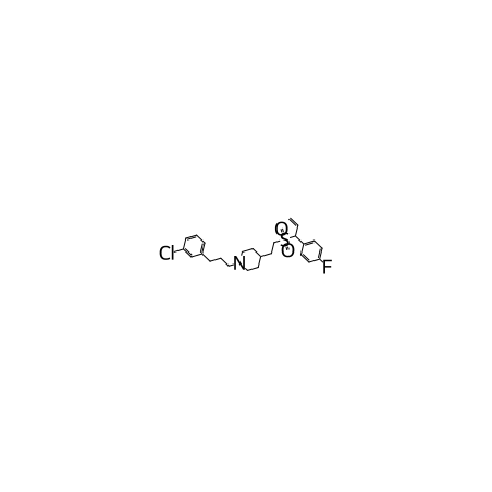 C=CC(c1ccc(F)cc1)S(=O)(=O)CCC1CCN(CCCc2cccc(Cl)c2)CC1